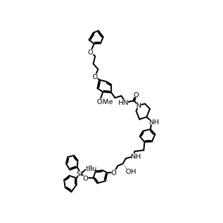 COc1cc(OCCCOc2ccccc2)ccc1CCNC(=O)N1CCC(Nc2ccc(CCNC[C@H](O)COc3ccc(O[Si](c4ccccc4)(c4ccccc4)C(C)(C)C)cc3)cc2)CC1